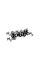 COC(=O)c1cc2nc3n(c2cc1S(C)(=O)=O)CCN(c1ncc(C)c(C(F)(F)F)n1)C3C(C)C